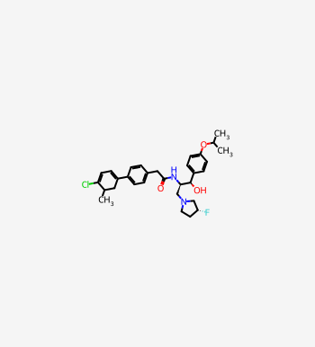 CC(C)Oc1ccc([C@@H](O)[C@@H](CN2CC[C@@H](F)C2)NC(=O)Cc2ccc(C3=CC=C(Cl)C(C)C3)cc2)cc1